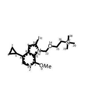 COc1ncc(C2CC2)c2cc(I)n(COCC[Si](C)(C)C)c12